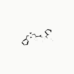 N#CC(NC(=O)[C@@H](N)CS(=O)(=O)Cc1ccccc1)c1cccs1